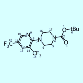 CC(C)(C)OC(=O)N1CCN(c2ncc(C(F)(F)F)cc2C(F)(F)F)CC1